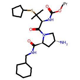 CC(C)OC(=O)N[C@@H](C(=O)N1C[C@H](N)C[C@H]1C(=O)NCC1CCCCC1)C(C)(C)SC1CCCC1